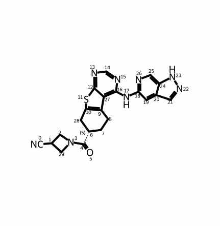 N#CC1CN(C(=O)[C@H]2CCc3c(sc4ncnc(Nc5cc6cn[nH]c6cn5)c34)C2)C1